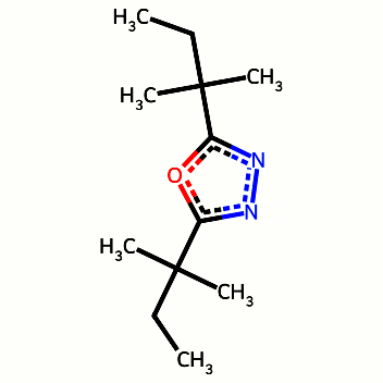 CCC(C)(C)c1nnc(C(C)(C)CC)o1